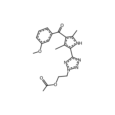 COc1cccc(C(=O)c2c(C)[nH]c(-c3nnn(CCOC(C)=O)n3)c2C)c1